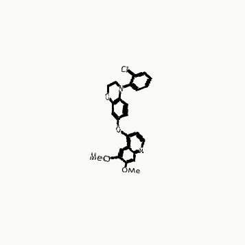 COc1cc2nccc(Oc3ccc4c(c3)OCCN4c3ccccc3Cl)c2cc1OC